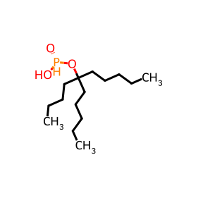 CCCCCC(CCCC)(CCCCC)O[PH](=O)O